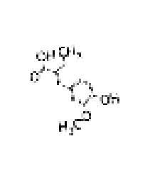 CC/C(=C\c1ccc(O)c(OC)c1)C(=O)O